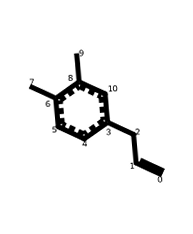 C=CCc1ccc(C)c(C)c1